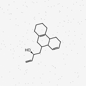 C=C[C@@H](O)CC1CC2=C(CCCC2)C2CCC=CC12